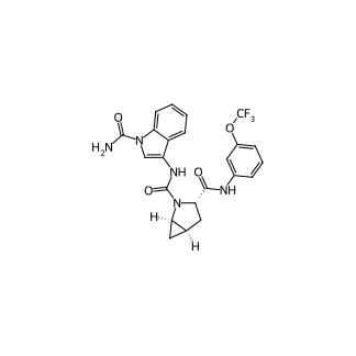 NC(=O)n1cc(NC(=O)N2[C@@H]3C[C@@H]3C[C@H]2C(=O)Nc2cccc(OC(F)(F)F)c2)c2ccccc21